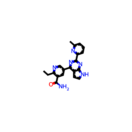 CCc1ncc(-c2nc(-c3cccc(C)n3)nc3[nH]ccc23)cc1C(N)=O